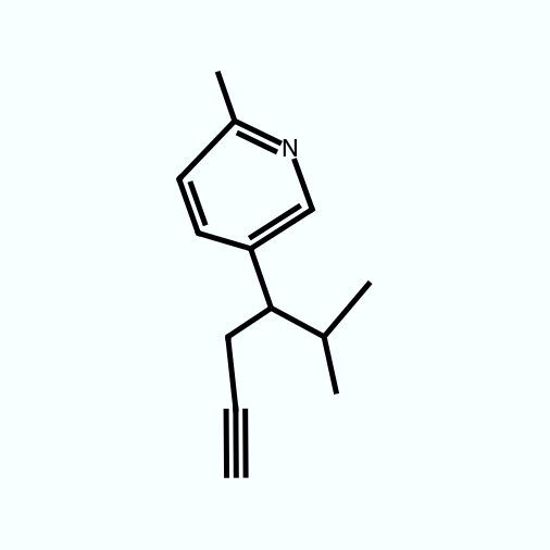 C#CCC(c1ccc(C)nc1)C(C)C